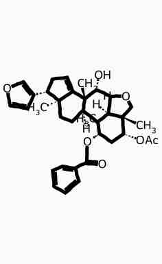 CC(=O)O[C@@H]1C[C@H](OC(=O)c2ccccc2)[C@@]2(C)[C@H]3[C@H](OC[C@]13C)[C@@H](O)[C@@]1(C)C3=CC[C@@H](c4ccoc4)[C@]3(C)CC[C@@H]12